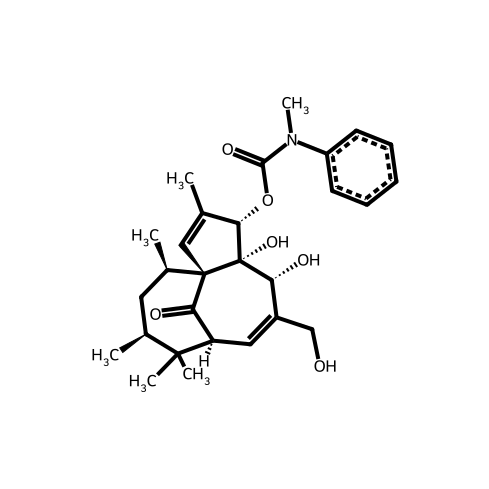 CC1=C[C@]23C(=O)[C@@H](C=C(CO)[C@@H](O)[C@]2(O)[C@H]1OC(=O)N(C)c1ccccc1)C(C)(C)[C@@H](C)C[C@H]3C